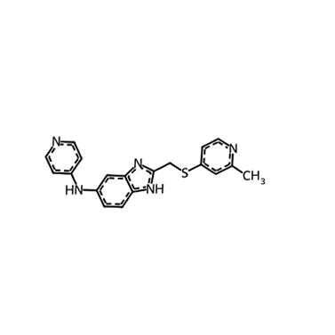 Cc1cc(SCc2nc3cc(Nc4ccncc4)ccc3[nH]2)ccn1